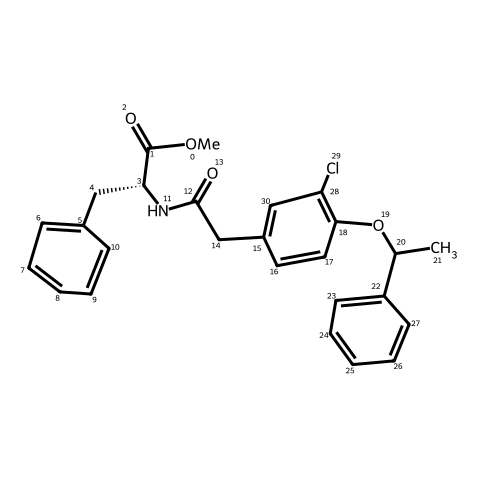 COC(=O)[C@@H](Cc1ccccc1)NC(=O)Cc1ccc(OC(C)c2ccccc2)c(Cl)c1